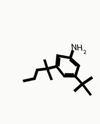 CCCC(C)(C)c1cc(N)cc(C(C)(C)C)c1